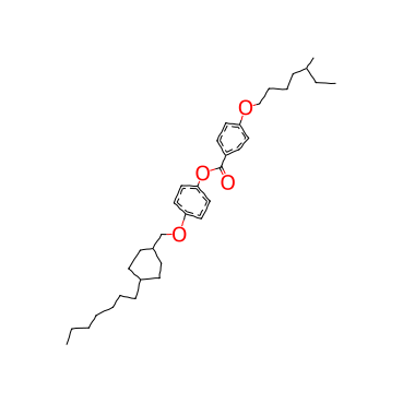 CCCCCCCC1CCC(COc2ccc(OC(=O)c3ccc(OCCCCC(C)CC)cc3)cc2)CC1